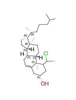 [CH2]C(Cl)C1C[C@H](O)CC2=CC[C@H]3[C@@H]4CC[C@H]([C@H](C)CCCC(C)C)[C@@]4(C)CC[C@@H]3[C@]21C